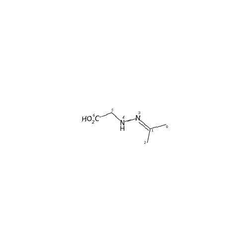 CC(C)=NNCC(=O)O